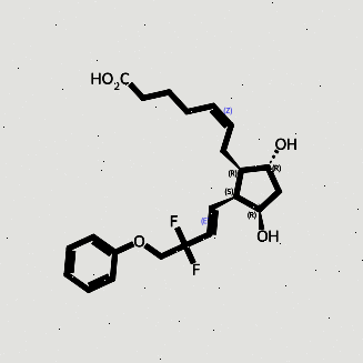 O=C(O)CCC/C=C\C[C@@H]1[C@H](/C=C/C(F)(F)COc2ccccc2)[C@H](O)C[C@H]1O